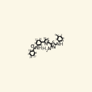 Cc1cccc(Nc2nc(N)c(-c3nc(-c4cccc(NC(=O)c5ccccc5)c4)cs3)s2)c1